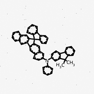 CC1(C)c2ccccc2-c2ccc(N(c3ccccc3)c3ccc4cc5c(cc4c3)C3(c4ccccc4-c4ccccc43)c3cc4ccccc4cc3-5)cc21